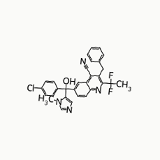 Cn1cncc1C(O)(c1ccc(Cl)cc1)c1ccc2nc(C(C)(F)F)c(Cc3ccccc3)c(C#N)c2c1